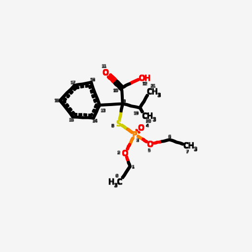 CCOP(=O)(OCC)SC(C(=O)O)(c1ccccc1)C(C)C